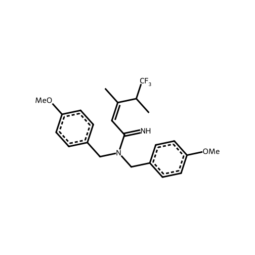 COc1ccc(CN(Cc2ccc(OC)cc2)C(=N)/C=C(/C)C(C)C(F)(F)F)cc1